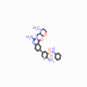 CN1CCOCC1Cn1c(N)nc2ccc(-c3cnc(N)c(S(=O)(=O)Nc4ccccc4)c3)cc2c1=O